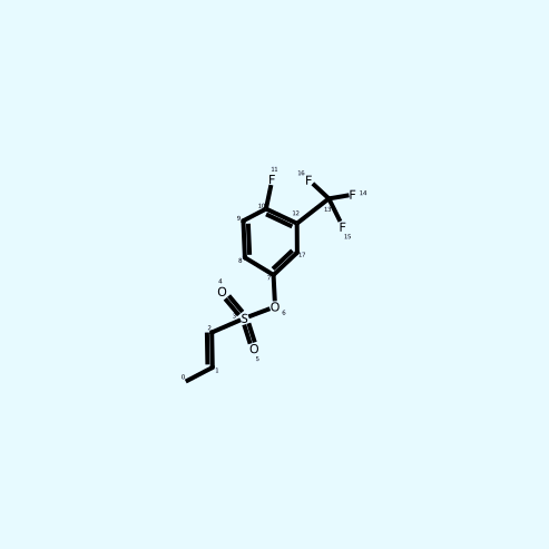 C/C=C/S(=O)(=O)Oc1ccc(F)c(C(F)(F)F)c1